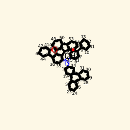 CC1(c2c(N(c3ccc(-c4ccccc4)cc3)c3ccc4c5ccccc5c5ccccc5c4c3)ccc3c2oc2ccccc23)c2ccccc2-c2ccccc21